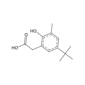 Cc1cc(C(C)(C)C)cc(CC(=O)O)c1O